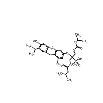 Cc1cc(OC(COC(=O)OC(C)C)(COC(=O)OC(C)C)P(=O)(O)O)cc(C)c1Cc1ccc(O)c(C(C)C)c1